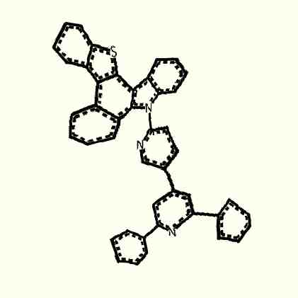 c1ccc(-c2cc(-c3ccc(-n4c5ccccc5c5c6sc7ccccc7c6c6ccccc6c54)nc3)cc(-c3ccccc3)n2)cc1